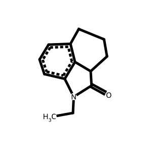 CCN1C(=O)C2CCCc3cccc1c32